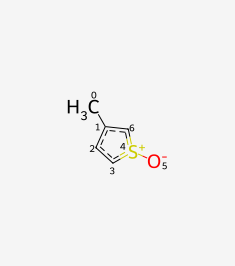 Cc1cc[s+]([O-])c1